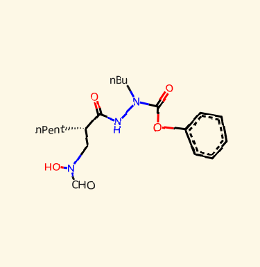 CCCCC[C@@H](CN(O)C=O)C(=O)NN(CCCC)C(=O)Oc1ccccc1